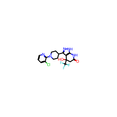 O=C1CC(O)(C(F)(F)F)c2c(C3CCN(c4ncccc4Cl)CC3)n[nH]c2N1